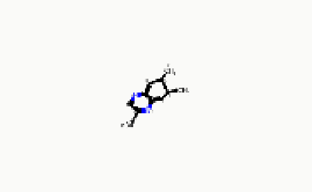 CCCCc1cnc2c(n1)=CC(C)C(C)C=2